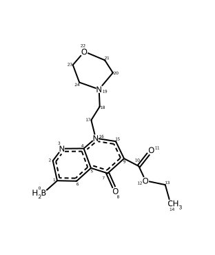 Bc1cnc2c(c1)c(=O)c(C(=O)OCC)cn2CCN1CCOCC1